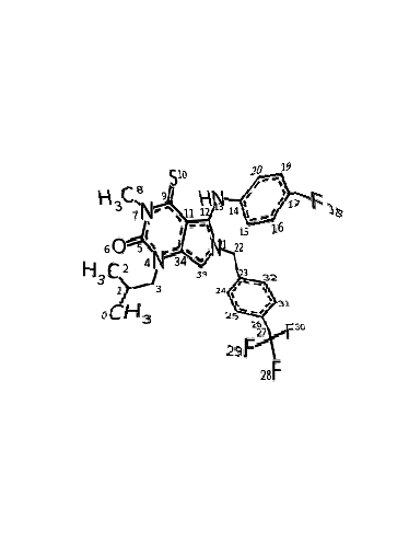 CC(C)Cn1c(=O)n(C)c(=S)c2c(Nc3ccc(F)cc3)n(Cc3ccc(C(F)(F)F)cc3)cc21